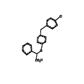 O=C(O)C(Oc1ccc(Cc2ccc(Cl)cc2)cc1)c1ccccc1